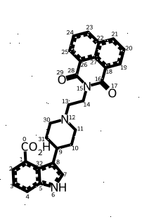 O=C(O)c1cccc2[nH]cc(C3CCN(CCN4C(=O)c5cccc6cccc(c56)C4=O)CC3)c12